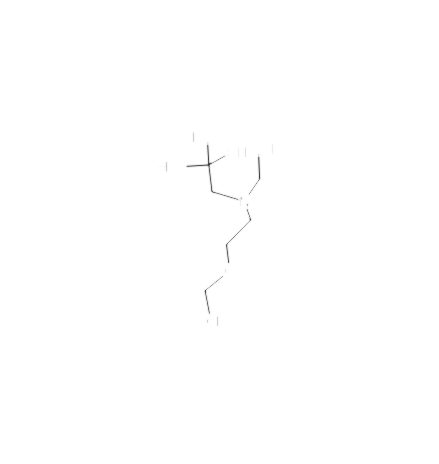 CCOCCN(CC)CC(C)(C)C